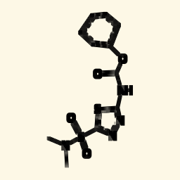 CN(C)S(=O)(=O)c1nnc(NC(=O)Oc2ccccc2)s1